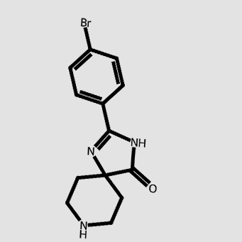 O=C1NC(c2ccc(Br)cc2)=NC12CCNCC2